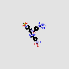 COC(=O)Nc1ccc(-c2cnc(C3CC(C4CCN(S(C)(=O)=O)CC4)CN3C(=O)c3ccc(NC(=N)N)cc3)[nH]2)cc1